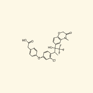 CC(c1ccc(Oc2ccc(CC(=O)O)cc2)cc1Cl)C(O)(c1ccc2c(c1)N(C)C(=O)CO2)C(F)(F)F